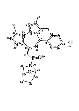 Cc1sc2c(c1C)C(c1ccc(Cl)cc1)=N[C@@H](CC(=O)N1CC3CCC(C1)O3)c1nnc(C)n1-2